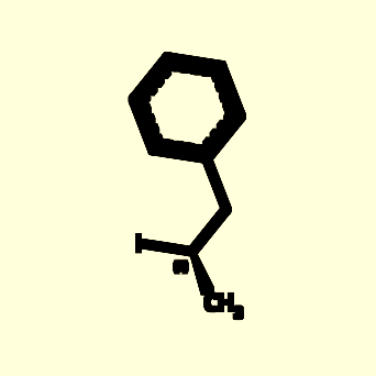 C[C@@H](I)Cc1ccccc1